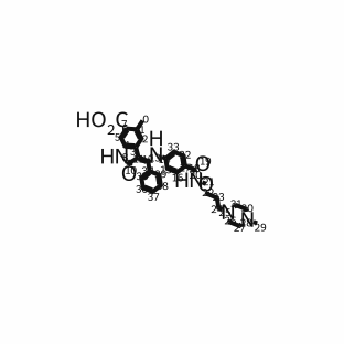 Cc1cc2c(cc1C(=O)O)NC(=O)/C2=C(/Nc1ccc(C(=O)NOCCCN2CCN(C)CC2)cc1)c1ccccc1